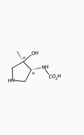 C[C@@]1(O)CNC[C@H]1NC(=O)O